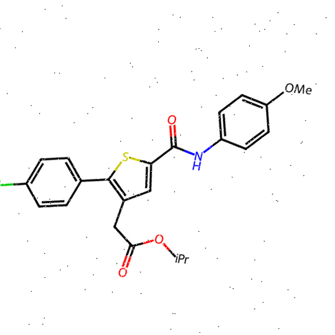 COc1ccc(NC(=O)c2cc(CC(=O)OC(C)C)c(-c3ccc(Cl)cc3)s2)cc1